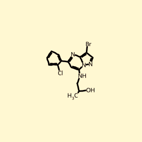 CC(O)CNc1cc(-c2ccccc2Cl)nc2c(Br)cnn12